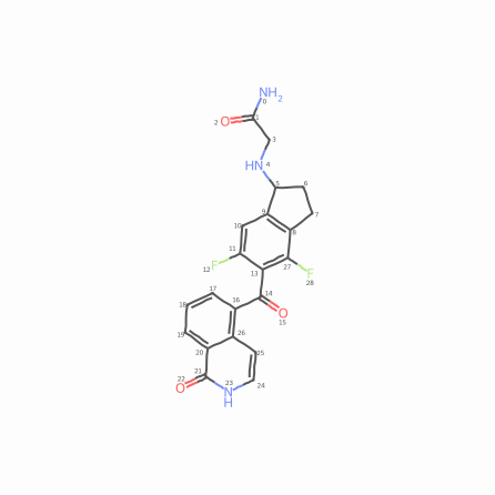 NC(=O)CNC1CCc2c1cc(F)c(C(=O)c1cccc3c(=O)[nH]ccc13)c2F